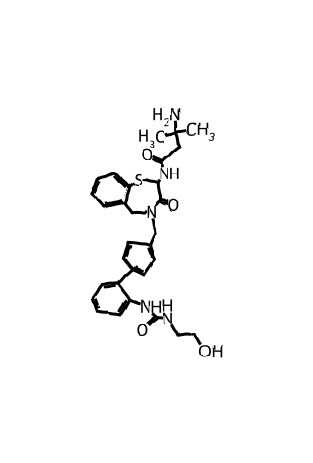 CC(C)(N)CC(=O)N[C@@H]1Sc2ccccc2CN(Cc2ccc(-c3ccccc3NC(=O)NCCO)cc2)C1=O